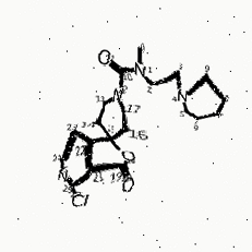 CN(CCN1CCCCC1)C(=O)N1CCC2(CC1)OC(=O)c1c2ccnc1Cl